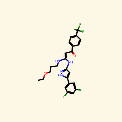 CCOCCCN/C(=C/C(=O)c1ccc(C(F)(F)F)cc1)Nc1cc(-c2cc(F)cc(F)c2)[nH]n1